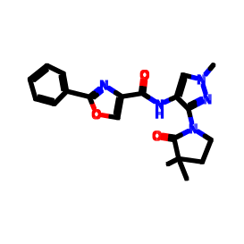 Cn1cc(NC(=O)c2coc(-c3ccccc3)n2)c(N2CCC(C)(C)C2=O)n1